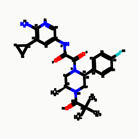 C[C@@H]1CN(C(=O)C(=O)Nc2cnc(N)c(C3CC3)c2)[C@@H](c2ccc(F)cc2)CN1C(=O)C(C)(C)C